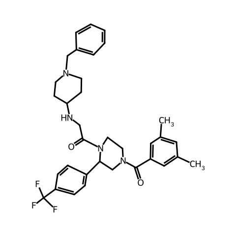 Cc1cc(C)cc(C(=O)N2CCN(C(=O)CNC3CCN(Cc4ccccc4)CC3)C(c3ccc(C(F)(F)F)cc3)C2)c1